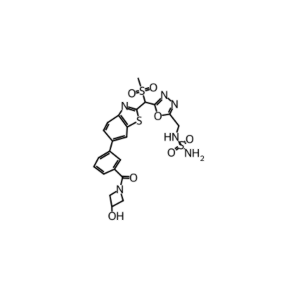 CS(=O)(=O)C(c1nnc(CNS(N)(=O)=O)o1)c1nc2ccc(-c3cccc(C(=O)N4CC(O)C4)c3)cc2s1